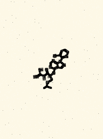 CC(C)OC[C@H](Oc1ncnc2c1cnn2-c1ncccc1Cl)C(=O)NC(=N)S